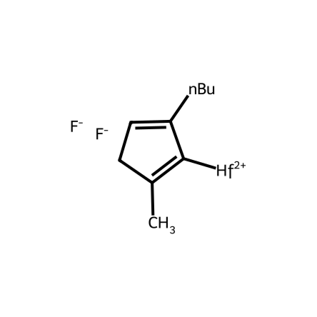 CCCCC1=CCC(C)=[C]1[Hf+2].[F-].[F-]